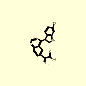 C=C(C(=O)O)c1ccc2ncnc(C3CNc4cc(Cl)ccc43)c2c1